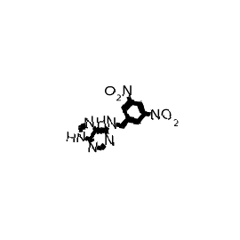 O=[N+]([O-])c1cc(CNc2ncnc3[nH]cnc23)cc([N+](=O)[O-])c1